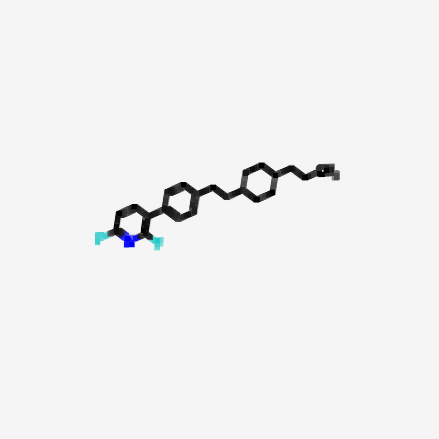 CCCC1CCC(CCc2ccc(-c3ccc(F)nc3F)cc2)CC1